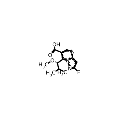 CO[C@H](c1c(C(=O)O)cnc2cc(F)nn12)C(C)C